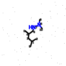 CC(C)CC(C)CNN(C)C